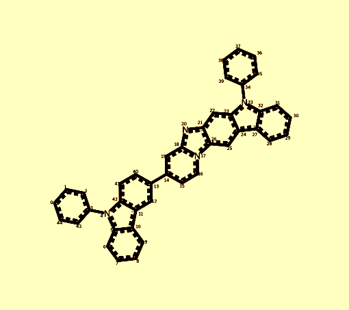 c1ccc(-n2c3ccccc3c3cc(-c4ccn5c(c4)nc4cc6c(cc45)c4ccccc4n6-c4ccccc4)ccc32)cc1